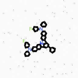 Fc1ccc(N(c2ccccc2)c2ccc3cc4c5cc(-c6ccccc6)cc6c7cc8ccc(N(c9ccccc9)c9ccc(F)cc9)cc8cc7n(c4cc3c2)c56)cc1